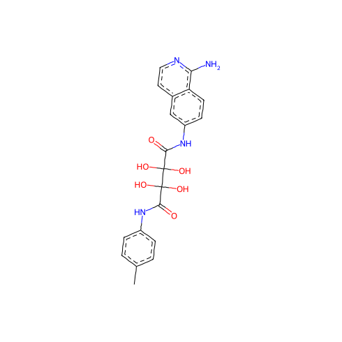 Cc1ccc(NC(=O)C(O)(O)C(O)(O)C(=O)Nc2ccc3c(N)nccc3c2)cc1